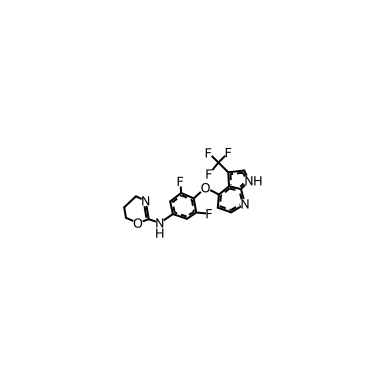 Fc1cc(NC2=NCCCO2)cc(F)c1Oc1ccnc2[nH]cc(C(F)(F)F)c12